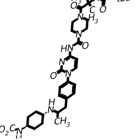 CC(Cc1ccc(-n2ccc(NC(=O)N3CCN(C(=O)C(C)(C)NC(=O)OC(C)(C)C)CC3)nc2=O)cc1)N[C@H]1CC[C@H](NC(=O)O)CC1